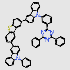 c1ccc(-c2nc(-c3ccccc3)nc(-c3cccc(-n4c5ccccc5c5cc(-c6ccc7sc8ccc(-c9ccc%10c(c9)c9ccccc9n%10-c9ccccc9)cc8c7c6)ccc54)c3)n2)cc1